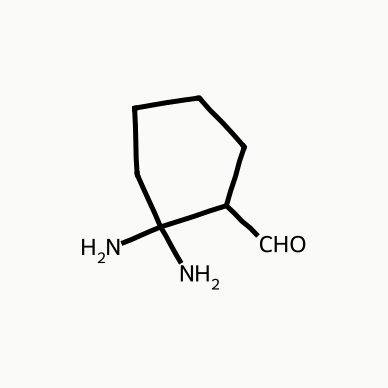 NC1(N)CCCCC1C=O